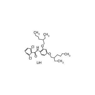 CCCCC(CC)COc1ccc(PC(=O)c2c(Cl)cccc2Cl)c(OCC(CC)CCCC)c1.[LiH]